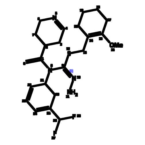 C=C(C1CC=NCC1)N(/C(=N\N)SCC1=C(OC)CCCC1)C1C=CC=C(C(F)F)C1